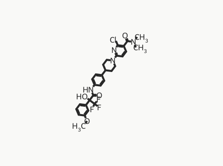 COc1cccc(C(O)(C(=O)Nc2ccc(C3CCN(c4ccc(C(=O)N(C)C)c(Cl)n4)CC3)cc2)C(F)(F)F)c1